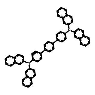 c1c(-c2ccc(-c3ccc(N(c4ccc5ccccc5c4)c4ccc5ccccc5c4)cc3)cc2)ccc(N(c2ccc3ccccc3c2)c2ccc3ccccc3c2)c#1